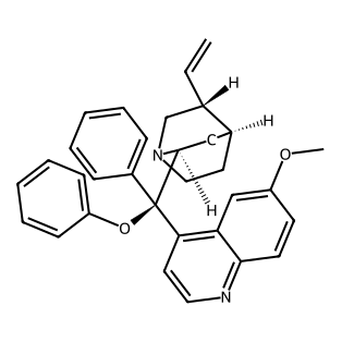 C=C[C@H]1CN2CC[C@H]1C[C@H]2[C@@](Oc1ccccc1)(c1ccccc1)c1ccnc2ccc(OC)cc12